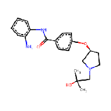 CC(C)(O)CN1CC[C@H](Oc2ccc(C(=O)Nc3ccccc3N)cc2)C1